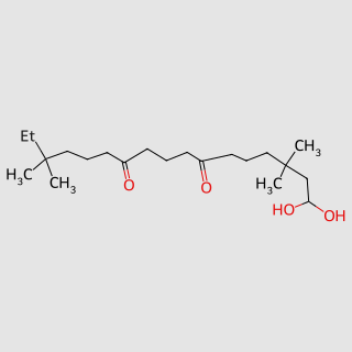 CCC(C)(C)CCCC(=O)CCCC(=O)CCCC(C)(C)CC(O)O